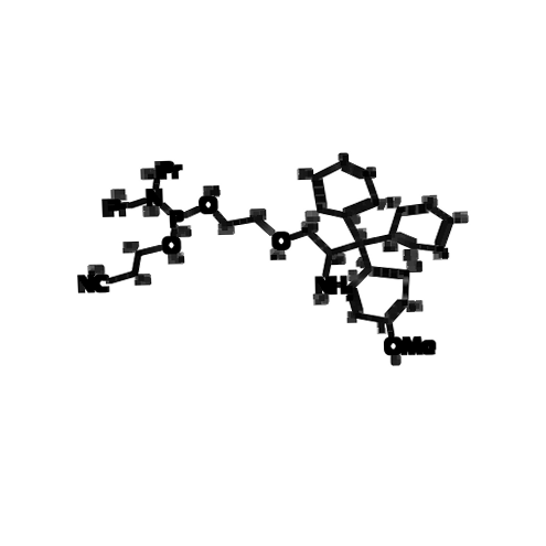 COc1ccc(C(c2ccccc2)(c2ccccc2)C(N)COCCOP(OCCC#N)N(C(C)C)C(C)C)cc1